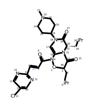 CC(C)C[C@H]1ON(C(=O)/C=C/c2ncc(Cl)cn2)C2=CN(C3CCN(C)CC3)C(=O)[C@H](CC(C)C)N2C1=O